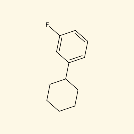 Fc1cccc(C2[CH]CCCC2)c1